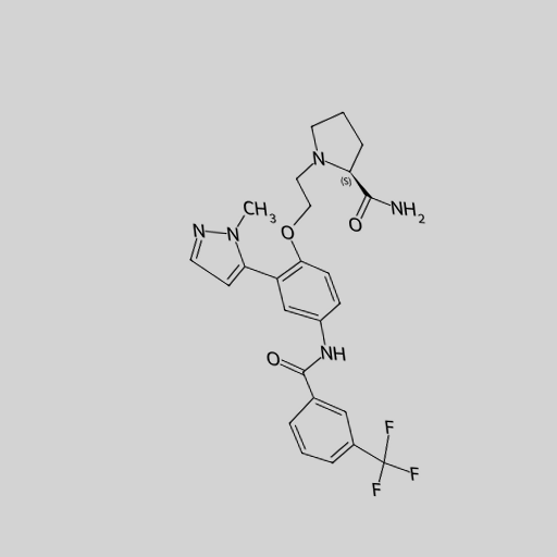 Cn1nccc1-c1cc(NC(=O)c2cccc(C(F)(F)F)c2)ccc1OCCN1CCC[C@H]1C(N)=O